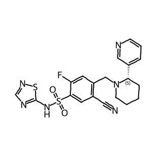 N#Cc1cc(S(=O)(=O)Nc2ncns2)c(F)cc1CN1CCCC[C@H]1c1cccnc1